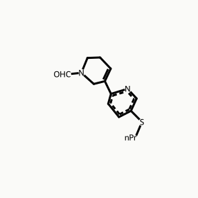 CCCSc1ccc(C2=CCCN(C=O)C2)nc1